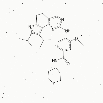 COc1cc(C(=O)NC2CCN(C)CC2)ccc1Nc1ncc2c(n1)-c1c(nn(C(C)C)c1C(C)C)CC2